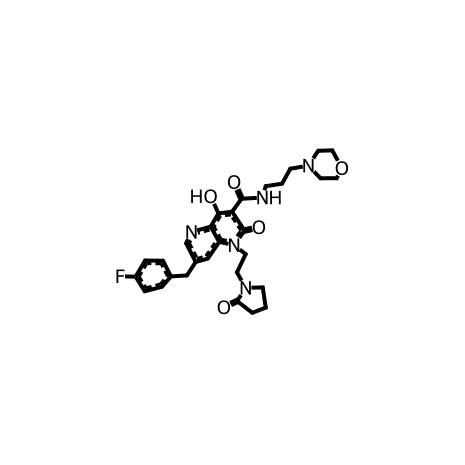 O=C(NCCCN1CCOCC1)c1c(O)c2ncc(Cc3ccc(F)cc3)cc2n(CCN2CCCC2=O)c1=O